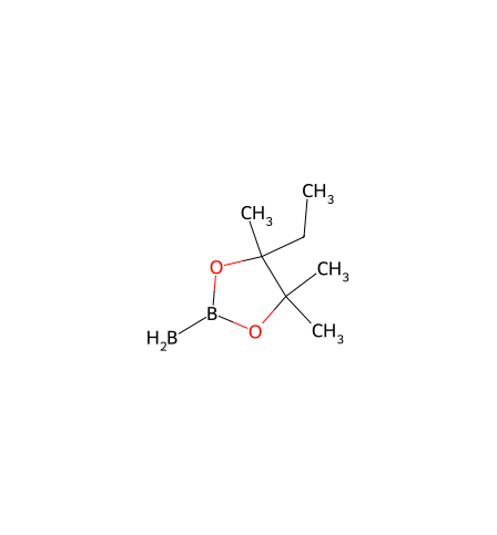 BB1OC(C)(C)C(C)(CC)O1